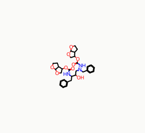 O=C(NC(Cc1ccccc1)C(O)CN(Cc1ccccc1)NC(=O)OC1COC2OCCC12)OC1COC2OCCC12